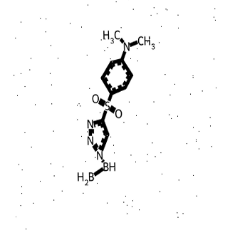 BBn1cc(S(=O)(=O)c2ccc(N(C)C)cc2)nn1